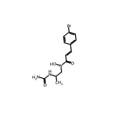 CC(CN(O)C(=O)C=Cc1ccc(Br)cc1)NC(N)=O